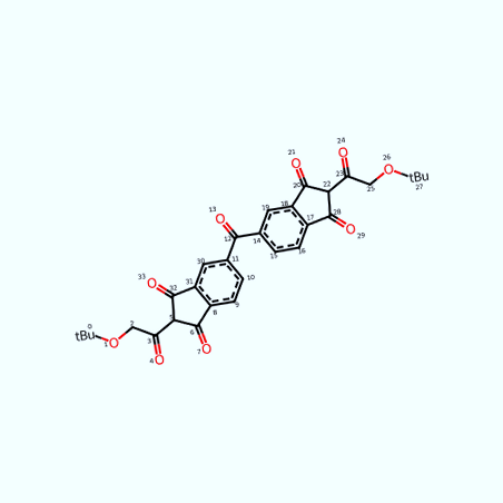 CC(C)(C)OCC(=O)C1C(=O)c2ccc(C(=O)c3ccc4c(c3)C(=O)C(C(=O)COC(C)(C)C)C4=O)cc2C1=O